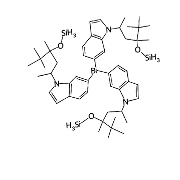 CC(CC(C)(O[SiH3])C(C)(C)C)n1ccc2cc[c]([Bi]([c]3ccc4ccn(C(C)CC(C)(O[SiH3])C(C)(C)C)c4c3)[c]3ccc4ccn(C(C)CC(C)(O[SiH3])C(C)(C)C)c4c3)cc21